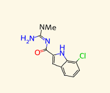 CNC(N)=NC(=O)c1cc2cccc(Cl)c2[nH]1